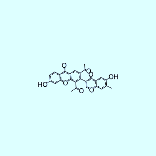 CC(=O)c1cc2c(=O)c3ccc(O)cc3oc2c(C(C)=O)c1-c1coc2cc(C)c(O)cc2c1=O